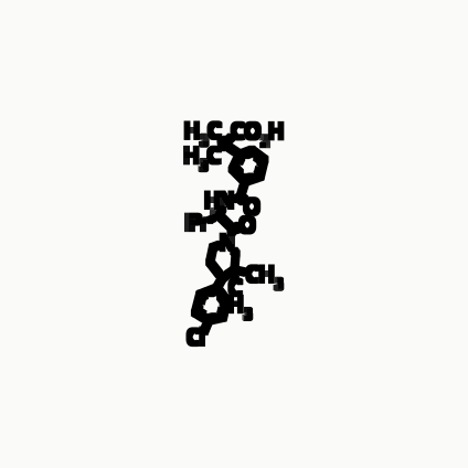 CC(C)[C@@H](NC(=O)c1cccc(C(C)(C)C(=O)O)c1)C(=O)N1CCC(c2ccc(Cl)cc2)C(C)(C)C1